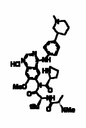 CN[C@@H](C)C(=O)N[C@H](C(=O)N(C(=O)[C@@H]1CCCN1)c1cc2c(Nc3ccc(C4CCCN(C)C4)cc3)ncnc2cc1OC)C(C)(C)C.Cl